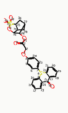 O=C(COc1ccc(-[s+]2c3ccccc3c(=O)c3ccccc32)cc1)OC1C2CC3C1OS(=O)(=O)C3C2